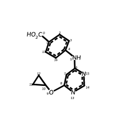 O=C(O)c1ccc(Nc2cc(OC3CC3)ncn2)cc1